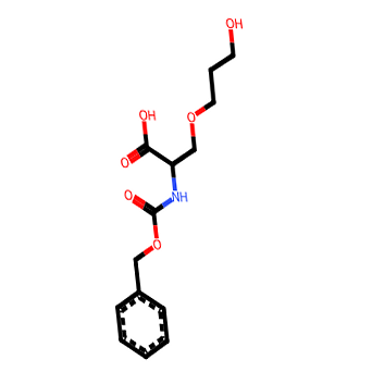 O=C(NC(COCCCO)C(=O)O)OCc1ccccc1